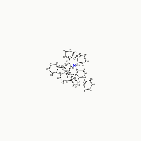 c1ccc(-c2ccc3c(c2)C2(c4ccccc4-c4ccccc42)c2cc(-c4ccccc4)cc4c2N3c2ccccc2-c2ccccc2-4)cc1